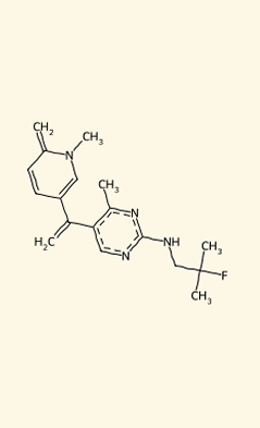 C=C(C1=CN(C)C(=C)C=C1)c1cnc(NCC(C)(C)F)nc1C